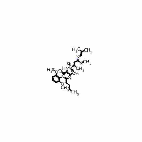 C=N/C(C[C@@H](C)S(=O)(=O)Nc1c(O)nc(CCCC)n(-c2c(OC)cccc2OC)c1=O)=N\C=C(C)C